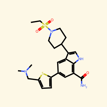 CCS(=O)(=O)N1CCC(c2c[nH]c3c(C(N)=O)cc(-c4ccc(CN(C)C)s4)cc23)CC1